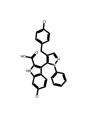 O=C(O)c1[nH]c2cc(Cl)ccc2c1-c1c(Cc2ccc(Cl)cc2)cnn1-c1ccccc1